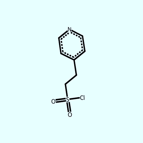 O=S(=O)(Cl)CCc1ccncc1